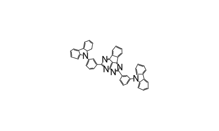 C1=CCC2C(=C1)c1ccccc1N2c1cccc(-c2nc3c4c(nc(-c5cccc(-n6c7ccccc7c7ccccc76)c5)nc4n2)-c2ccccc2-3)c1